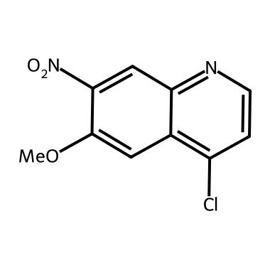 COc1cc2c(Cl)ccnc2cc1[N+](=O)[O-]